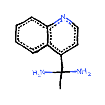 CC(N)(N)c1ccnc2ccccc12